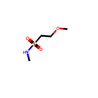 [CH2]NS(=O)(=O)CCOC